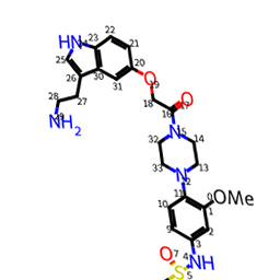 COc1cc(NS(C)(=O)=O)ccc1N1CCN(C(=O)COc2ccc3[nH]cc(CCN)c3c2)CC1